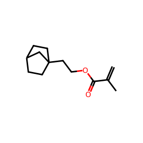 C=C(C)C(=O)OCCC12CCC(CC1)C2